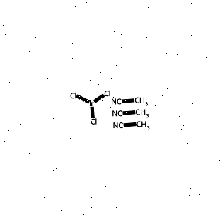 CC#N.CC#N.CC#N.[Cl][Ir]([Cl])[Cl]